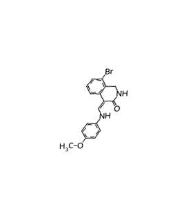 COc1ccc(NC=C2C(=O)NCc3c(Br)cccc32)cc1